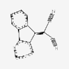 N#CC(C#N)=C1c2ccccc2-c2ncccc21